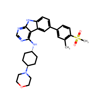 Cc1cc(-c2ccc3[nH]c4ncnc(N[C@H]5CC[C@H](N6CCOCC6)CC5)c4c3c2)ccc1S(C)(=O)=O